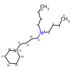 CCCCN(CCCC)CCC[CH2][In]1[CH2]CCC[CH2]1